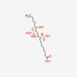 CCCCCC(O)C(CC(O)C(CCCCCCCC(=O)O)S(=O)(=O)O)S(=O)(=O)O